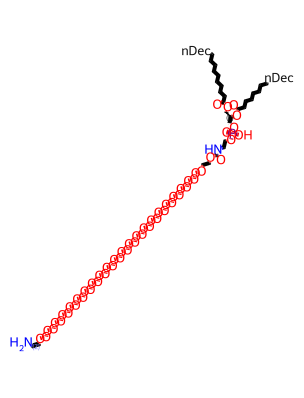 CCCCCCCCCCCCCCCCCCCC(=O)OC[C@H](COP(=O)(O)OCCNC(=O)OCCOOOOOOOOOOOOOOOOOOOOOOOOOOOOOOOOOOOOOOOOOOOO/C=C\N)OC(=O)CCCCCCCCCCCCCCCCC